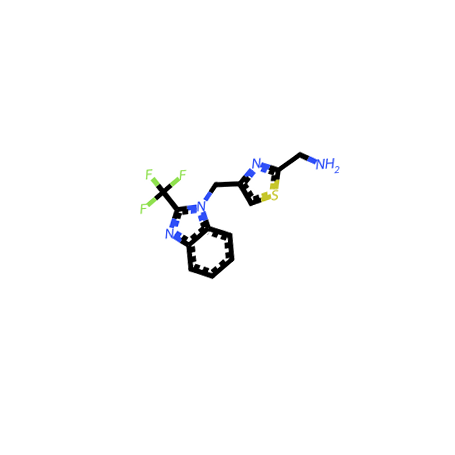 NCc1nc(Cn2c(C(F)(F)F)nc3ccccc32)cs1